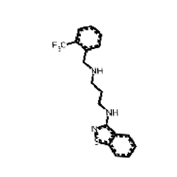 FC(F)(F)c1ccccc1CNCCCNc1nsc2ccccc12